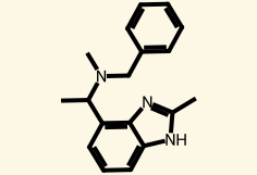 Cc1nc2c(C(C)N(C)Cc3ccccc3)cccc2[nH]1